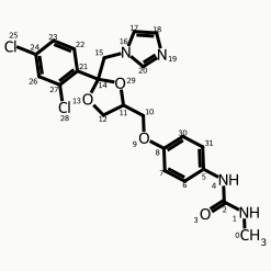 CNC(=O)Nc1ccc(OCC2COC(Cn3ccnc3)(c3ccc(Cl)cc3Cl)O2)cc1